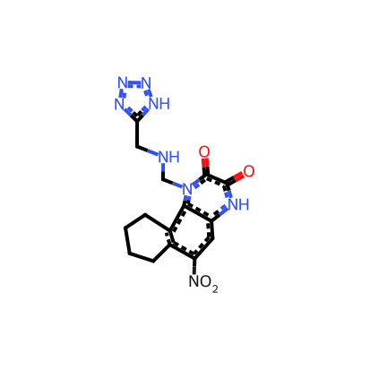 O=c1[nH]c2cc([N+](=O)[O-])c3c(c2n(CNCc2nnn[nH]2)c1=O)CCCC3